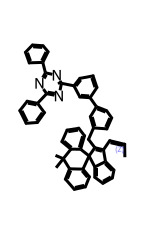 C/C=C\C1=C(Cc2cccc(-c3cccc(-c4nc(-c5ccccc5)nc(-c5ccccc5)n4)c3)c2)C2(c3ccccc31)c1ccccc1C(C)(C)c1ccccc12